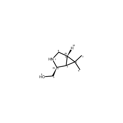 CC1(C)C2[C@@H](CO)NC[C@@H]21